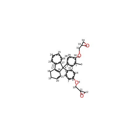 Cc1cc(C2(c3ccc(OCC4CO4)cc3)C3=C(CCC=C3)c3ccccc32)ccc1OCC1CO1